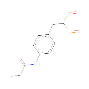 O=PC(Cc1ccc(NC(=O)CBr)cc1)P=O